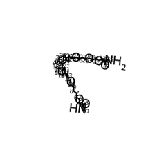 CNC(=O)COCCCCCOCCN1CC[C@@H](C)C(C2CN(CCOCCCOCCOCC(N)=O)CC[C@@H]2C)C1